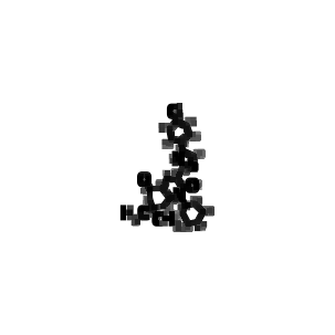 CC1(C)CC(=O)c2cc(-c3nc(-c4ccc(Cl)cc4)cs3)c(=O)n(C3CCCCC3)c2C1